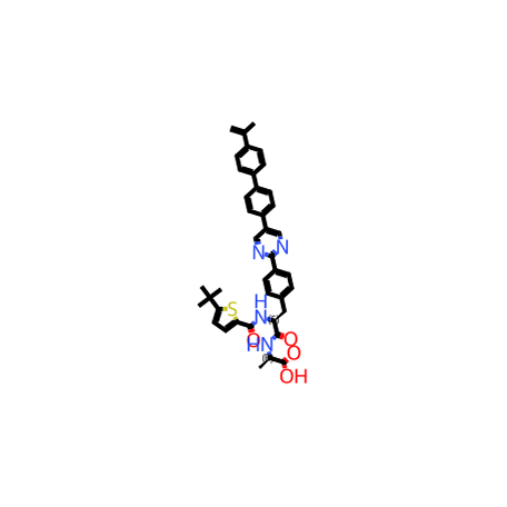 C=C(C)c1ccc(-c2ccc(-c3cnc(-c4ccc(C[C@H](NC(=O)c5ccc(C(C)(C)C)s5)C(=O)N[C@H](C)C(=O)O)cc4)nc3)cc2)cc1